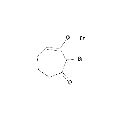 CCOC1=CCCCC(=O)C1Br